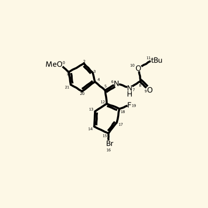 COc1ccc(C(=NNC(=O)OC(C)(C)C)c2ccc(Br)cc2F)cc1